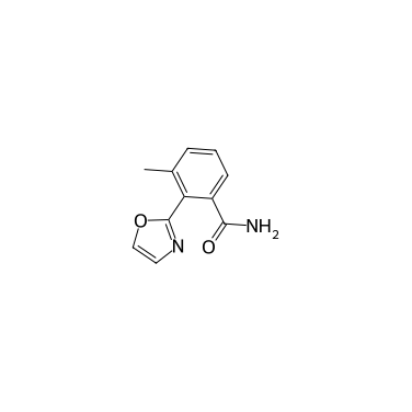 Cc1cccc(C(N)=O)c1-c1ncco1